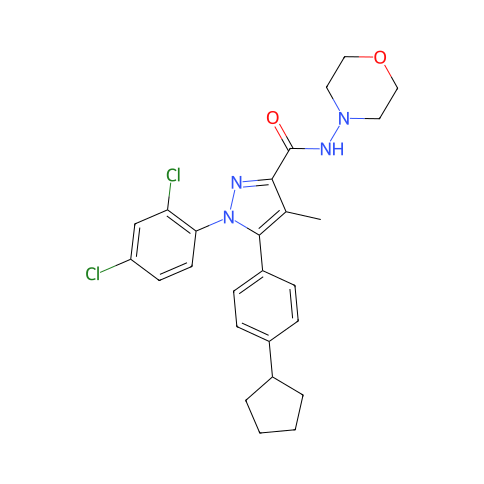 Cc1c(C(=O)NN2CCOCC2)nn(-c2ccc(Cl)cc2Cl)c1-c1ccc(C2CCCC2)cc1